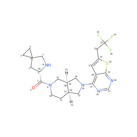 O=C([C@@H]1CC2(CC2)CN1)N1CC[C@@H]2CN(c3ncnc4sc(CC(F)(F)F)cc34)C[C@@H]2C1